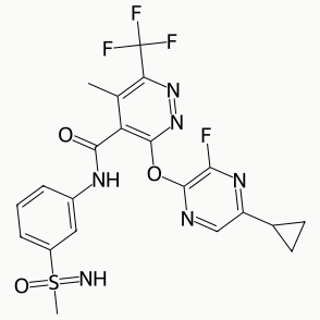 Cc1c(C(F)(F)F)nnc(Oc2ncc(C3CC3)nc2F)c1C(=O)Nc1cccc(S(C)(=N)=O)c1